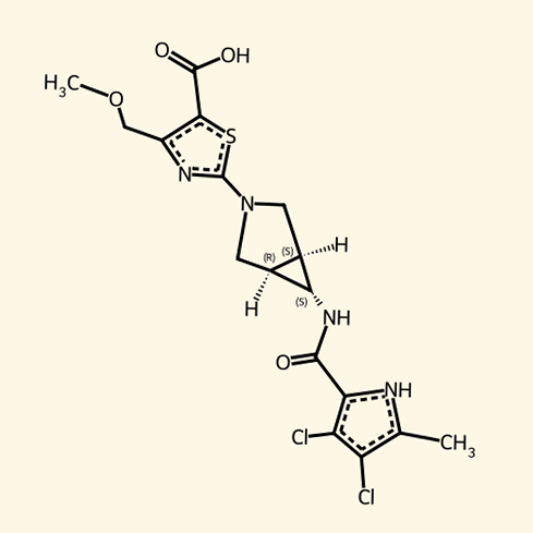 COCc1nc(N2C[C@@H]3[C@H](C2)[C@H]3NC(=O)c2[nH]c(C)c(Cl)c2Cl)sc1C(=O)O